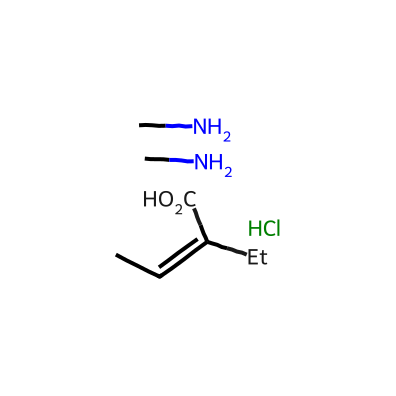 CC=C(CC)C(=O)O.CN.CN.Cl